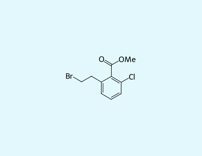 COC(=O)c1c(Cl)cccc1CCBr